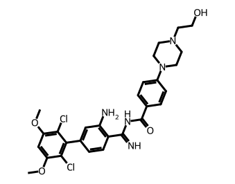 COc1cc(OC)c(Cl)c(-c2ccc(C(=N)NC(=O)c3ccc(N4CCN(CCO)CC4)cc3)c(N)c2)c1Cl